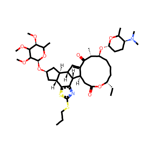 CCCSc1nc2c(s1)[C@@H]1C[C@@H](O[C@@H]3OC(C)[C@H](OC)C(OC)C3OC)C[C@H]1[C@@H]1C=C3C(=O)[C@H](C)[C@@H](O[C@H]4CC[C@H](N(C)C)C(C)O4)CCC[C@H](CC)OC(=O)C[C@H]3[C@H]21